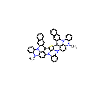 CN1c2ccccc2N2c3cc4ccccc4cc3B3c4sc5c6c4N(c4ccccc4N6c4ccc6c7c4B5c4cc5ccccc5cc4N7c4ccccc4N6C)c4ccc1c2c43